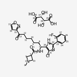 CN1CC(C(=O)N[C@@H](CCCCCC(=O)c2ccon2)c2[nH]c(-c3ccccc3F)nc2Cl)C1.O=C(O)[C@H](O)[C@@H](O)C(=O)O